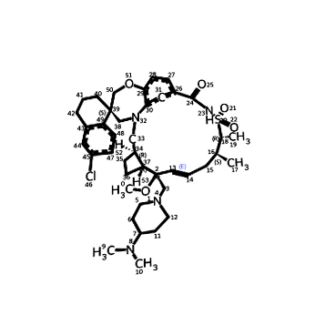 CO[C@@]1(CN2CCC(N(C)C)CC2)/C=C/C[C@H](C)[C@@H](C)S(=O)(=O)NC(=O)c2ccc3c(c2)N(C[C@@H]2CC[C@H]21)C[C@@]1(CCCc2cc(Cl)ccc21)CO3